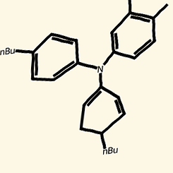 CCCCc1ccc(N(C2=CCC(CCCC)C=C2)c2ccc(C)c(C)c2)cc1